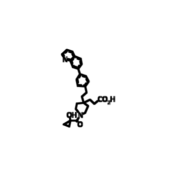 O=C(O)CCC1(CCc2ccc(-c3ccc4cccnc4c3)cc2)CCN(C(=O)C2(O)CC2)CC1